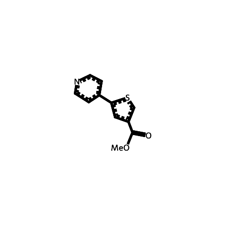 COC(=O)c1csc(-c2ccncc2)c1